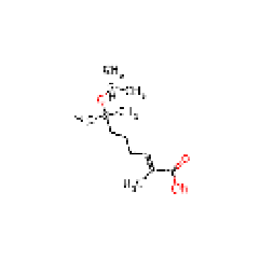 C/C(=C\CCC[Si](C)(C)O[SiH](C)C)C(=O)O